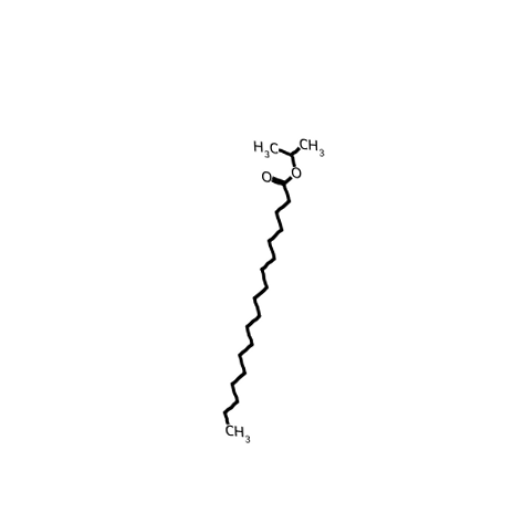 CCCCCCCCCCCCCCCCCC(=O)OC(C)C